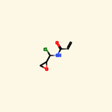 C=CC(=O)NC(Cl)C1CO1